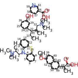 CC(CN1c2ccccc2Sc2ccccc21)N(C)C.CC[C@@H](c1cccc(O)c1)[C@@H](C)CN(C)C.COc1ccc2cc([C@H](C)C(=O)O)ccc2c1.O=C(O)c1cccnc1